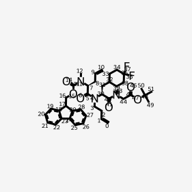 C=CCCN(C(=O)[C@H](CC=C)N(C)C(=O)OCC1c2ccccc2-c2ccccc21)[C@@H](CC1CCC(F)(F)CC1)C(=O)N(C)CC(=O)OC(C)(C)C